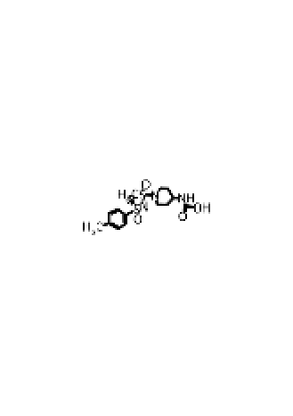 Cc1ccc(S(=O)(=O)N=S(C)(=O)N2CCC(NC(=O)O)CC2)cc1